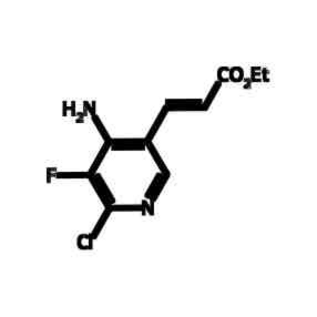 CCOC(=O)C=Cc1cnc(Cl)c(F)c1N